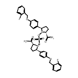 NC(=O)[C@@H]1CC[C@H](c2ccc(OCc3ccccc3F)cc2)N1OS(=O)(=O)ON1[C@@H](c2ccc(OCc3ccccc3F)cc2)CC[C@H]1C(N)=O